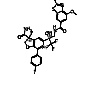 COc1cc(C(=O)NC[C@](O)(c2cc3c(c(-c4ccc(F)cc4)n2)OC[C@]3(F)C(N)=O)C(F)(F)F)cc2sc(C)nc12